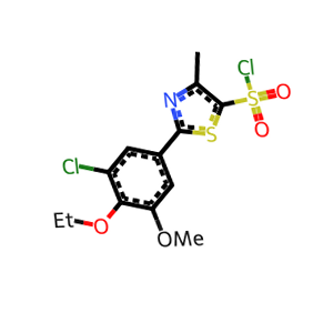 CCOc1c(Cl)cc(-c2nc(C)c(S(=O)(=O)Cl)s2)cc1OC